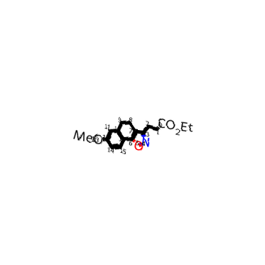 CCOC(=O)CCc1noc2c1CCc1cc(OC)ccc1-2